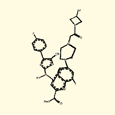 CCN(c1nc(-c2ccc(F)cc2)c(C#N)s1)c1cc(C(=O)OC)nc2c(F)cc(N3CCN(CC(=O)N4CC(O)C4)CC3)cc12